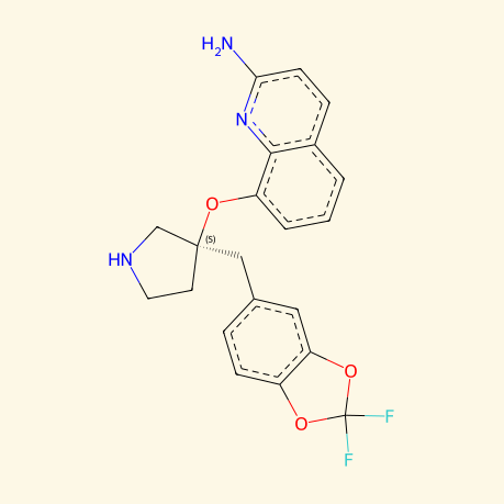 Nc1ccc2cccc(O[C@@]3(Cc4ccc5c(c4)OC(F)(F)O5)CCNC3)c2n1